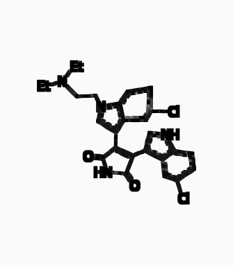 CCN(CC)CCn1cc(C2=C(c3c[nH]c4ccc(Cl)cc34)C(=O)NC2=O)c2cc(Cl)ccc21